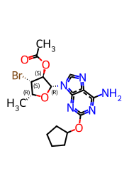 CC(=O)O[C@@H]1[C@@H](Br)[C@@H](C)O[C@H]1n1cnc2c(N)nc(OC3CCCC3)nc21